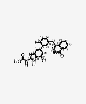 O=C(O)Nc1nc2cc(-c3cc(Cc4n[nH]c(=O)c5ccccc45)ccc3F)cc(Cl)c2[nH]1